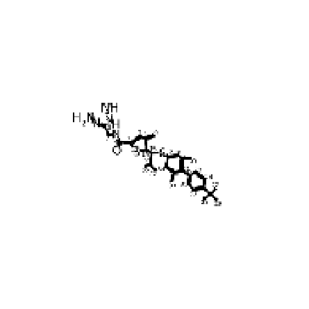 C=C1C=C(C(=O)NC/C(N=N)=N/N)SC1C(Sc1cc(C)c(-c2ccc(C(C)(C)C)cc2)c(C)c1)C(C)C